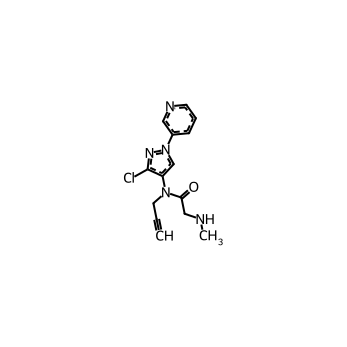 C#CCN(C(=O)CNC)c1cn(-c2cccnc2)nc1Cl